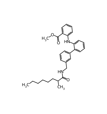 CCCCCCC(C)C(=O)NCc1cccc(-c2ccccc2Nc2ccccc2C(=O)OC)c1